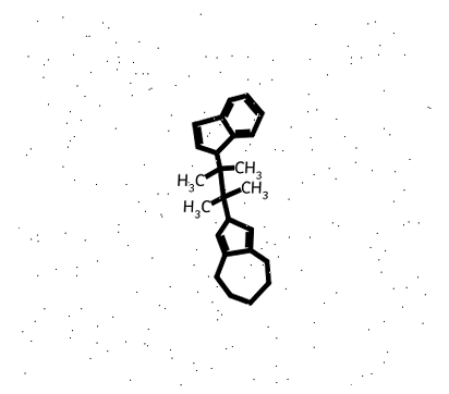 CC(C)(C1C=C2CCCCCC2=C1)C(C)(C)C1C=Cc2ccccc21